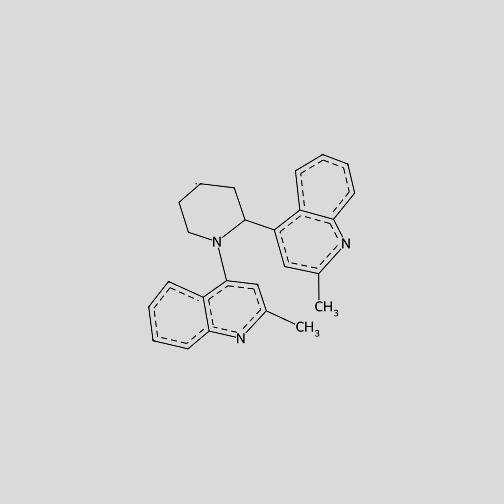 Cc1cc(C2C[CH]CCN2c2cc(C)nc3ccccc23)c2ccccc2n1